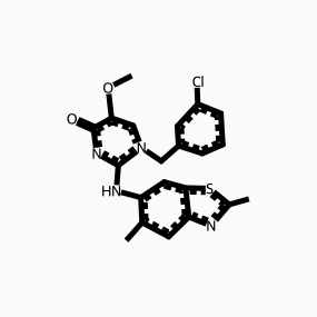 COc1cn(Cc2cccc(Cl)c2)c(Nc2cc3sc(C)nc3cc2C)nc1=O